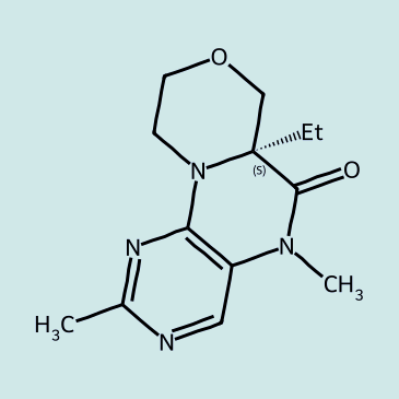 CC[C@@]12COCCN1c1nc(C)ncc1N(C)C2=O